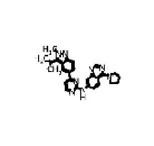 CC(C)c1c2cc(-c3ccnc(Nc4ccc5c(N6CCCC6)ncnc5c4)n3)ccc2nn1C